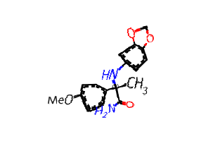 COc1ccc([C@](C)(Nc2ccc3c(c2)OCO3)C(N)=O)cc1